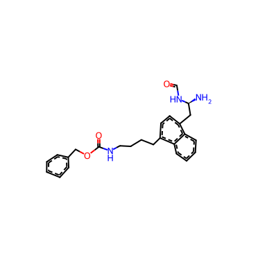 N[C@@H](Cc1ccc(CCCCNC(=O)OCc2ccccc2)c2ccccc12)NC=O